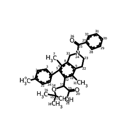 Cc1ccc(-c2c(C)c3c(c(C)c2C(OC(C)(C)C)C(=O)O)CCN(C(=O)c2ccccc2)C3)cc1